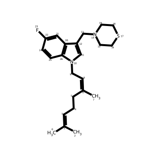 CC(C)=CCCC(C)=CCn1cc(CN2CCSCC2)c2cc(F)ccc21